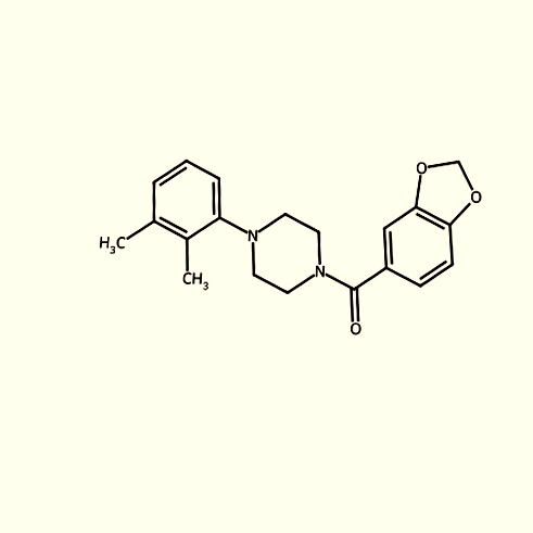 Cc1cccc(N2CCN(C(=O)c3ccc4c(c3)OCO4)CC2)c1C